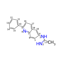 CC(=N)Nc1ccc2nc(-c3ccccc3)ccc2c1